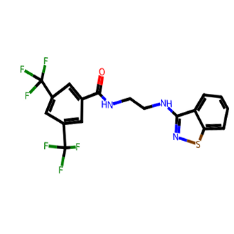 O=C(NCCNc1nsc2ccccc12)c1cc(C(F)(F)F)cc(C(F)(F)F)c1